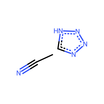 CC#N.c1nnn[nH]1